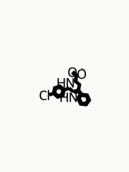 COC(=O)C1Cc2c([nH]c3ccccc23)C(c2ccc(Cl)cc2)N1